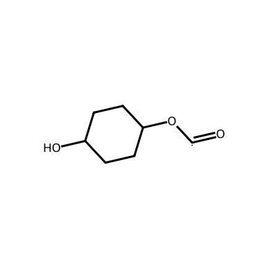 O=[C]OC1CCC(O)CC1